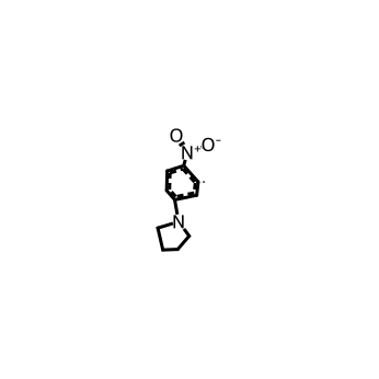 O=[N+]([O-])c1[c]cc(N2CCCC2)cc1